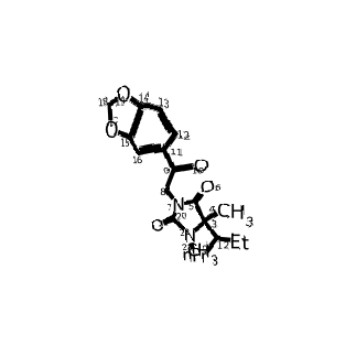 CCCC(CC)C1(C)C(=O)N(CC(=O)c2ccc3c(c2)OCO3)C(=O)N1C